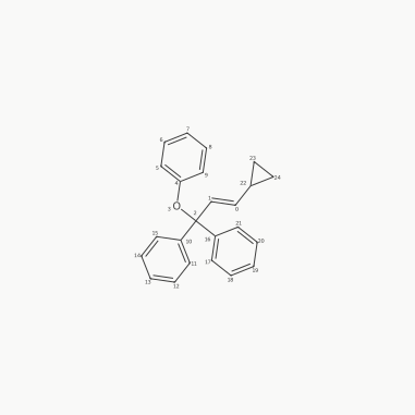 C(=CC(Oc1ccccc1)(c1ccccc1)c1ccccc1)C1CC1